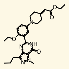 CCCc1nn(C)c2c(=O)[nH]c(-c3cc(N4CCC(=CC(=O)OCC)CC4)ccc3OCC)nc12